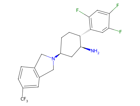 N[C@H]1C[C@@H](N2Cc3ccc(C(F)(F)F)cc3C2)CC[C@@H]1c1cc(F)c(F)cc1F